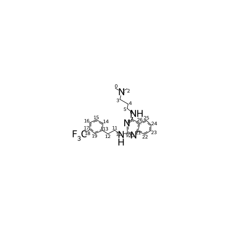 CN(C)CCCNc1nc(NCCc2cccc(C(F)(F)F)c2)nc2ccccc12